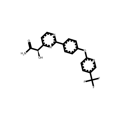 NC(=O)[C@H](O)c1ccnc(-c2ccc(Oc3ccc(C(F)(F)F)cn3)cc2)n1